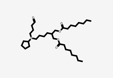 CCCCCCCC(=O)OCC(CCCCN(CCCC=O)C1CCCC1)COC(=O)CCCCCCC